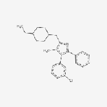 CCC1CCC(Cn2nc(-c3ccccc3)c(-c3cccc(Cl)c3)c2C)CC1